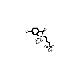 O=C1c2ccc(Cl)cc2S(=O)(=O)N1CCCS(=O)(=O)O.[Na]